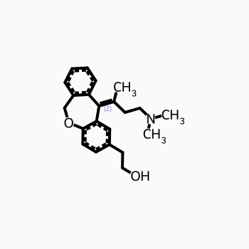 C/C(CCN(C)C)=C1\c2ccccc2COc2ccc(CCO)cc21